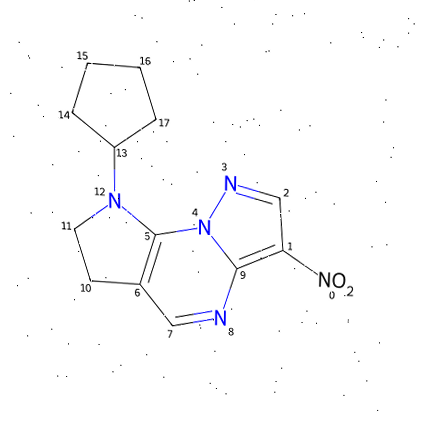 O=[N+]([O-])c1cnn2c3c(cnc12)CCN3C1CCCC1